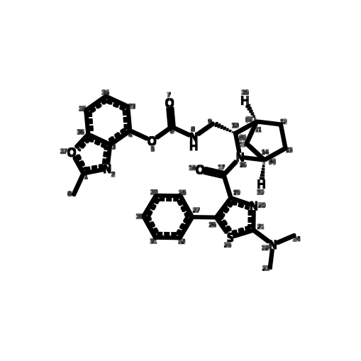 Cc1nc2c(OC(=O)NC[C@@H]3[C@H]4CC[C@H](C4)N3C(=O)c3nc(N(C)C)sc3-c3ccccc3)cccc2o1